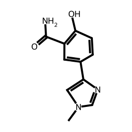 Cn1cnc(-c2ccc(O)c(C(N)=O)c2)c1